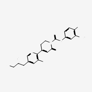 COc1cc(NC(=O)N2CCC(c3ncc(C[C@@H](O)CO)cc3F)=CC2=O)ccc1C(F)(F)F